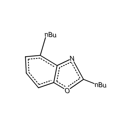 CCCCc1nc2c(CCCC)cccc2o1